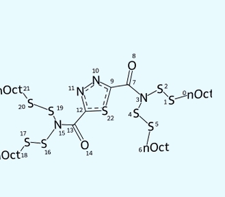 CCCCCCCCSSN(SSCCCCCCCC)C(=O)c1nnc(C(=O)N(SSCCCCCCCC)SSCCCCCCCC)s1